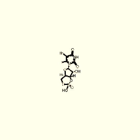 O=c1[nH]c(=O)n([C@@H]2O[C@@H]3COP(=O)(O)O[C@H]3[C@H]2O)c(I)c1Br